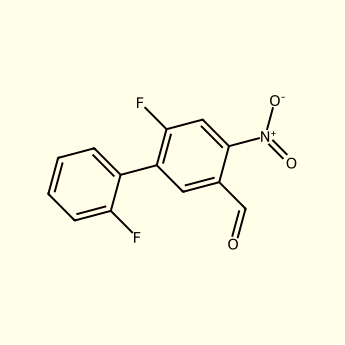 O=Cc1cc(-c2ccccc2F)c(F)cc1[N+](=O)[O-]